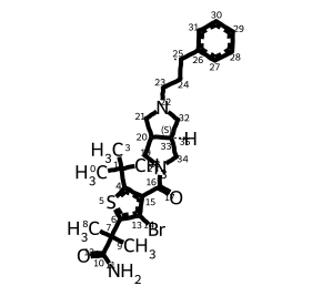 CC(C)(C)c1sc(C(C)(C)C(N)=O)c(Br)c1C(=O)N1CC2CN(CC[CH]c3ccccc3)C[C@H]2C1